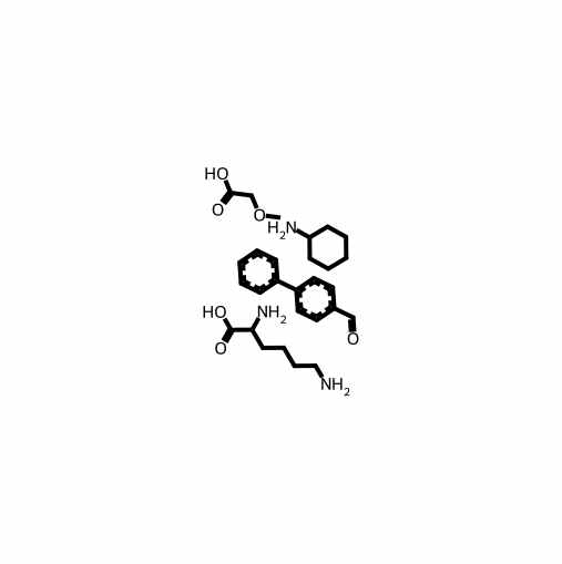 COCC(=O)O.NC1CCCCC1.NCCCCC(N)C(=O)O.O=Cc1ccc(-c2ccccc2)cc1